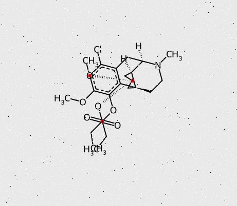 CCC(=O)Oc1c(OC)cc(Cl)c2c1[C@]13CCN(C)[C@H](C2)[C@@H]1C[C@@H](OC)[C@@H](OC(=O)CC)C3